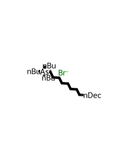 CCCCCCCCCCCCCCCCCC[As+](CCCC)(CCCC)CCCC.[Br-]